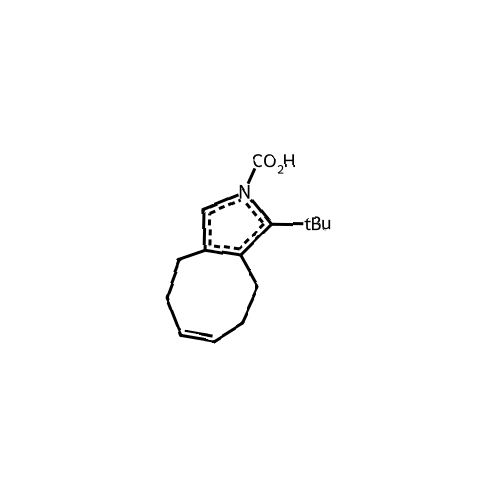 CC(C)(C)c1c2c(cn1C(=O)O)CCC=CCC2